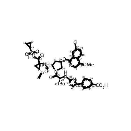 C=C[C@@H]1C[C@]1(NC(=O)[C@@H]1C[C@@H](Oc2ncc(OC)c3ccc(Cl)cc23)CN1C(=O)[C@@H](Nc1nc(-c2ccc(C(=O)O)cc2)cs1)C(C)(C)C)C(=O)NS(=O)(=O)C1CC1